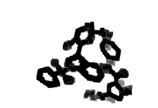 N[C@@H]1CN[C@H](C(=O)N[C@H]2CCC[C@@H](Nc3ncc(Cl)c(-c4cn(S(=O)(=O)c5ccccc5)c5ccccc45)n3)C2)C1